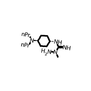 CCCN(CCC)[C@H]1CC[C@H](NC(=N)N(C)N)CC1